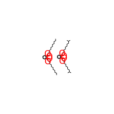 CC(C)CCCCCCCOC(=O)c1ccccc1C(=O)OCCCCCCCC(C)C.CCCCCCCCCCOC(=O)c1ccccc1C(=O)OCCCCCCCCCC